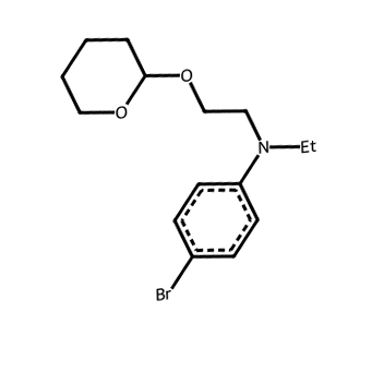 CCN(CCOC1CCCCO1)c1ccc(Br)cc1